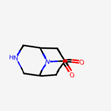 O=CN1C2CNCC1CC(=O)C2